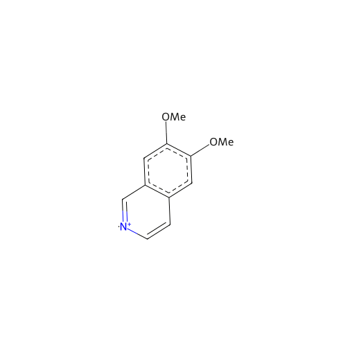 COc1cc2c(cc1OC)C=[N+]C=C2